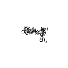 CCOc1cc(-c2ccc(N3CCCC4(CCN(C(=O)c5c(F)cccc5Cl)C4)C3)nc2)c2c3cn[nH]c3nn2c1